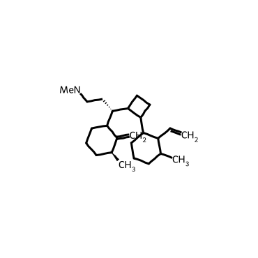 C=CC1C(C)CCCC1C1CCC1[C@@H](CCNC)C1CCC[C@H](C)C1=C